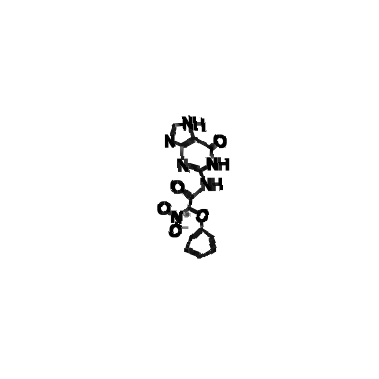 O=C(Nc1nc2nc[nH]c2c(=O)[nH]1)C(Oc1ccccc1)[N+](=O)[O-]